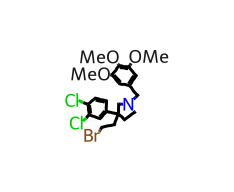 COc1cc(CN2CCC(CCBr)(c3ccc(Cl)c(Cl)c3)C2)cc(OC)c1OC